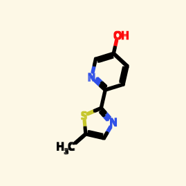 Cc1cnc(-c2ccc(O)cn2)s1